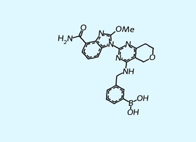 COc1nc2c(C(N)=O)cccc2n1-c1nc2c(c(NCc3cccc(B(O)O)c3)n1)COCC2